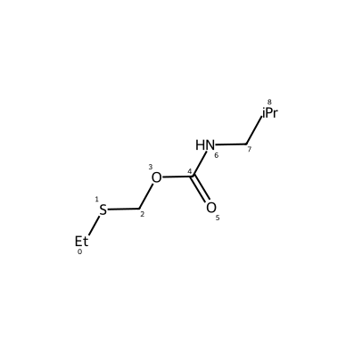 CCSCOC(=O)NCC(C)C